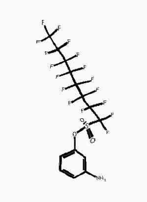 Nc1cccc(OS(=O)(=O)C(F)(F)C(F)(F)C(F)(F)C(F)(F)C(F)(F)C(F)(F)C(F)(F)C(F)(F)F)c1